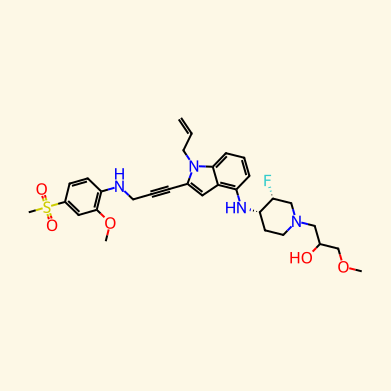 C=CCn1c(C#CCNc2ccc(S(C)(=O)=O)cc2OC)cc2c(N[C@H]3CCN(CC(O)COC)C[C@H]3F)cccc21